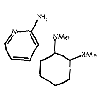 CNC1CCCCC1NC.Nc1ccccn1